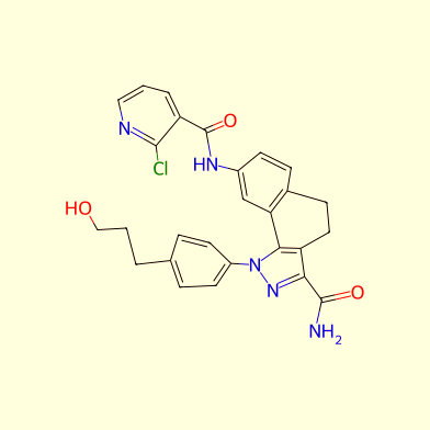 NC(=O)c1nn(-c2ccc(CCCO)cc2)c2c1CCc1ccc(NC(=O)c3cccnc3Cl)cc1-2